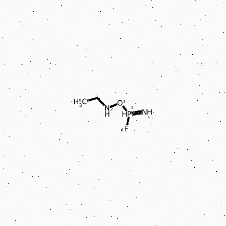 CCNO[PH](=N)F